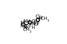 COc1cc(F)c(S(=O)(=O)Nc2cccc(-c3nn(C)c4ncnc(N)c34)c2F)cc1Cl